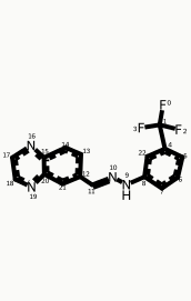 FC(F)(F)c1cccc(N/N=C/c2ccc3nccnc3c2)c1